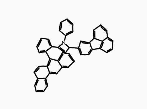 C1=C(c2ccccc2-c2c3ccccc3cc3c2ccc2ccccc23)N(c2ccccc2)C1c1ccc2c(c1)-c1cccc3cccc-2c13